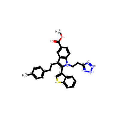 COC(=O)c1ccc2c(c1)c(CCc1ccc(C)cc1)c(-c1csc3ccccc13)n2CCc1nn[nH]n1